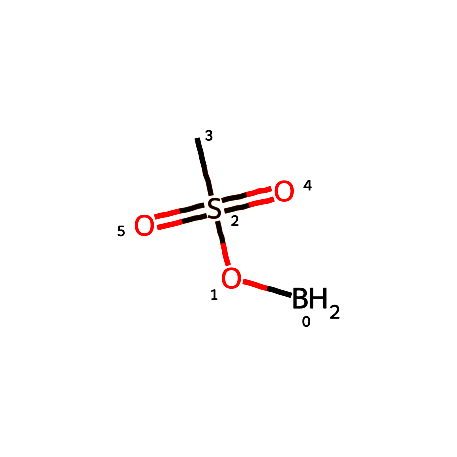 BOS(C)(=O)=O